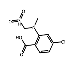 CN(C[SH](=O)=O)c1cc(Cl)ccc1C(=O)O